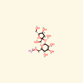 OC[C@H]1O[C@@](CO)(O[C@H]2O[C@H](COP)[C@@H](O)[C@H](O)[C@H]2O)[C@@H](O)[C@@H]1O